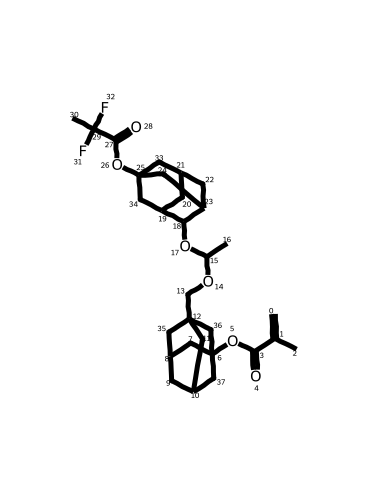 C=C(C)C(=O)OC12CC3CC(CC(COC(C)OC4C5CC6CC4CC(OC(=O)C(C)(F)F)(C6)C5)(C3)C1)C2